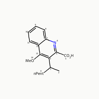 CCCCCC(C)c1c(C(=O)O)nc2ccccc2c1OC